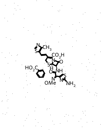 CO/N=C(/C(=O)N[C@@H]1C(=O)N2C(C(=O)O)=C(/C=C/c3scnc3C)CS[C@H]12)c1csc(N)n1.O=C(O)c1ccccc1